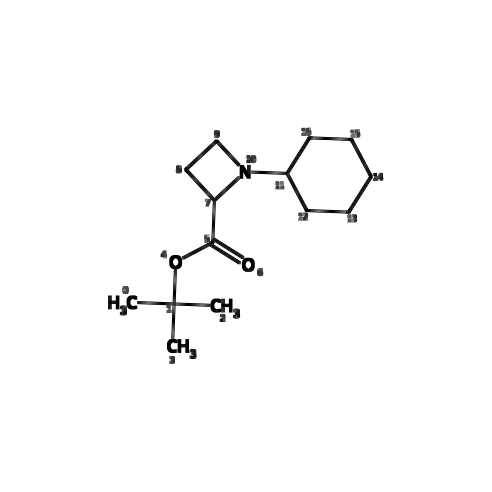 CC(C)(C)OC(=O)C1CCN1C1CCCCC1